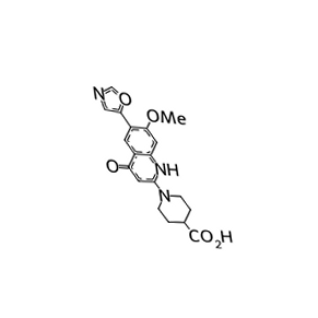 COc1cc2[nH]c(N3CCC(C(=O)O)CC3)cc(=O)c2cc1-c1cnco1